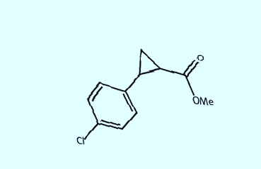 COC(=O)C1CC1c1ccc(Cl)cc1